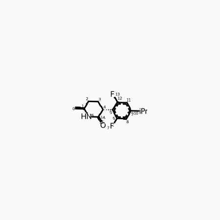 C=C1CC[C@H](c2c(F)cc(C(C)C)cc2F)C(=O)N1